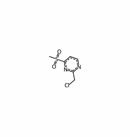 CS(=O)(=O)c1ccnc(CCl)n1